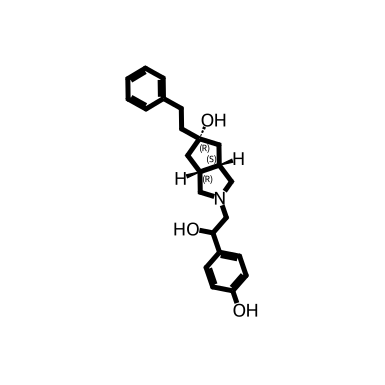 Oc1ccc(C(O)CN2C[C@@H]3C[C@@](O)(CCc4ccccc4)C[C@@H]3C2)cc1